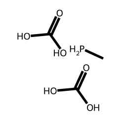 CP.O=C(O)O.O=C(O)O